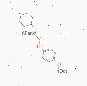 CCCCCCCCOc1ccc(OCCCC2CCCCC2CCCCC)cc1